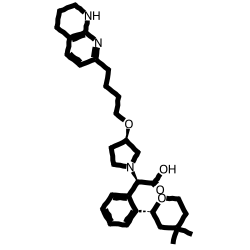 CC1(C)CCO[C@@H](c2ccccc2[C@H](C(=O)O)N2CC[C@@H](OCCCCc3ccc4c(n3)NCCC4)C2)C1